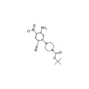 CC(C)(C)OC(=O)N1CCN(c2cc(N)c([N+](=O)[O-])cc2C#N)CC1